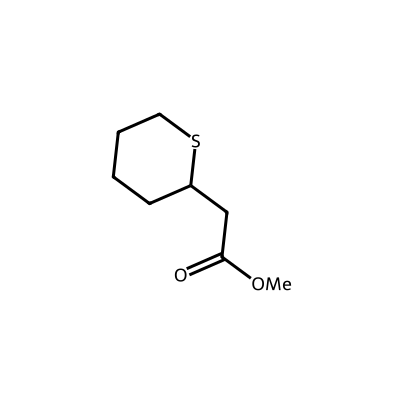 COC(=O)CC1CCCCS1